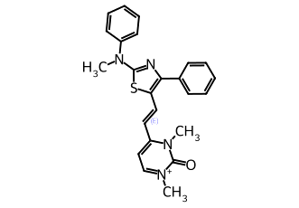 CN(c1ccccc1)c1nc(-c2ccccc2)c(/C=C/c2cc[n+](C)c(=O)n2C)s1